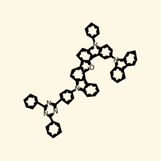 c1ccc(-c2nc(-c3ccccc3)nc(-c3ccc(-n4c5ccccc5c5c6oc7c(ccc8c7c7cc(-n9c%10ccccc%10c%10ccccc%109)ccc7n8-c7ccccc7)c6ccc54)cc3)n2)cc1